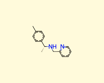 Cc1ccc([C@@H](C)NCc2ccccn2)cc1